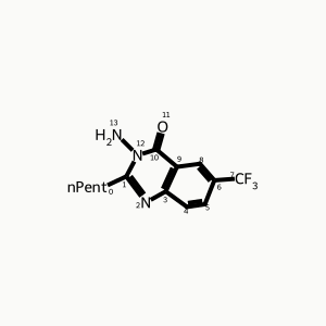 CCCCCc1nc2ccc(C(F)(F)F)cc2c(=O)n1N